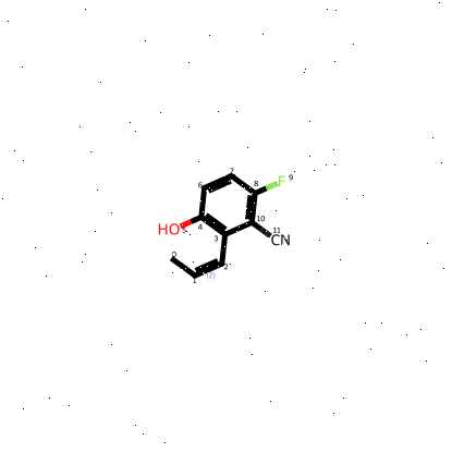 C/C=C\c1c(O)ccc(F)c1C#N